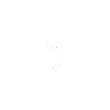 O=C(NCC1CC(Oc2ccc(CN3CCCC3)cc2)C1)c1cccnc1